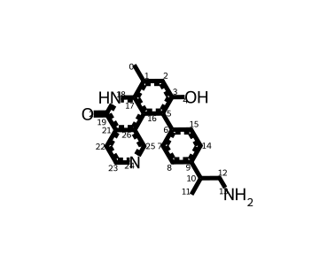 Cc1cc(O)c(-c2ccc(C(C)CN)cc2)c2c1[nH]c(=O)c1ccncc12